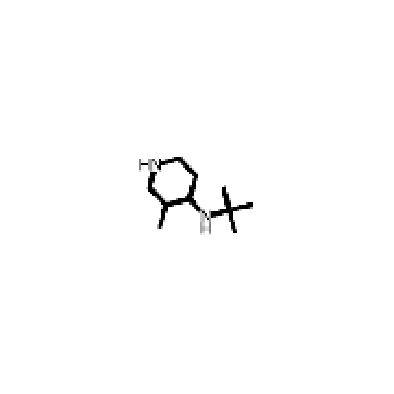 CC1CNCCC1NC(C)(C)C